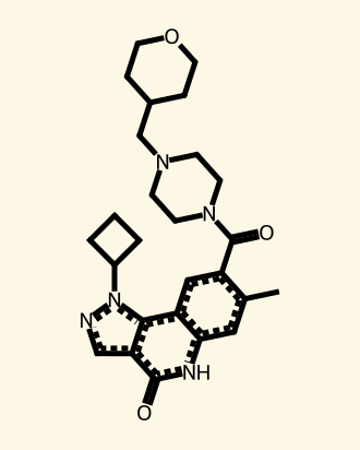 Cc1cc2[nH]c(=O)c3cnn(C4CCC4)c3c2cc1C(=O)N1CCN(CC2CCOCC2)CC1